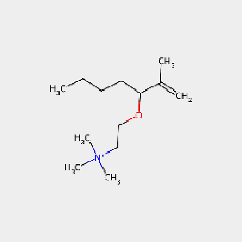 C=C(C)C(CCCC)OCC[N+](C)(C)C